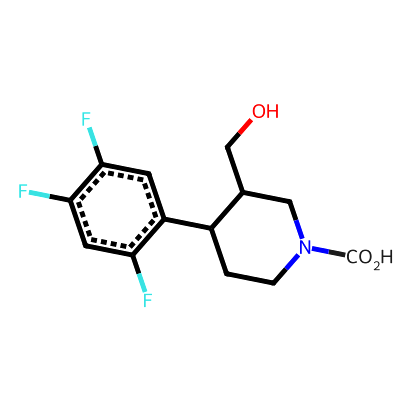 O=C(O)N1CCC(c2cc(F)c(F)cc2F)C(CO)C1